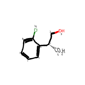 O=C(O)[C@@H](CO)c1ccccc1Cl